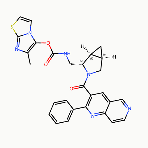 Cc1nc2sccn2c1OC(=O)NC[C@@H]1[C@H]2C[C@H]2CN1C(=O)c1cc2cnccc2nc1-c1ccccc1